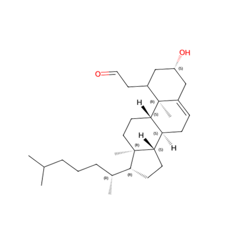 CC(C)CCC[C@@H](C)[C@H]1CC[C@H]2[C@@H]3CC=C4C[C@@H](O)CC(CC=O)[C@]4(C)[C@H]3CC[C@]12C